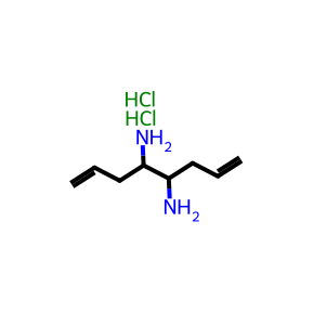 C=CCC(N)C(N)CC=C.Cl.Cl